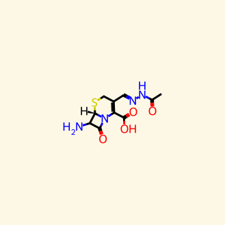 CC(=O)NN=CC1=C(C(=O)O)N2C(=O)C(N)[C@@H]2SC1